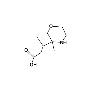 CC(CC(=O)O)C1(C)COCCN1